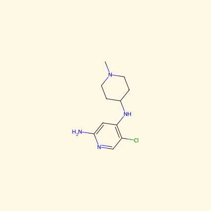 CN1CCC(Nc2cc(N)ncc2Cl)CC1